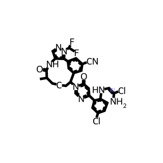 CC1CCCC(n2cnc(-c3cc(Cl)ccc3N/C=C(\N)Cl)cc2=O)c2cc(C#N)cc(c2)-c2c(cnn2C(F)F)NC1=O